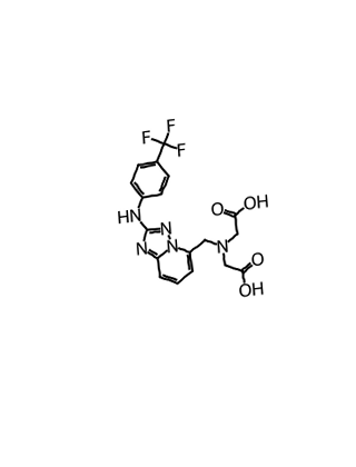 O=C(O)CN(CC(=O)O)Cc1cccc2nc(Nc3ccc(C(F)(F)F)cc3)nn12